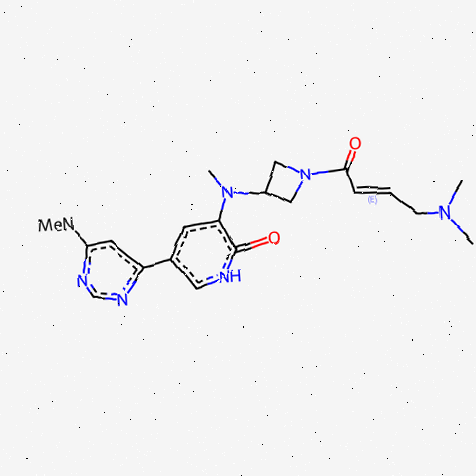 CNc1cc(-c2c[nH]c(=O)c(N(C)C3CN(C(=O)/C=C/CN(C)C)C3)c2)ncn1